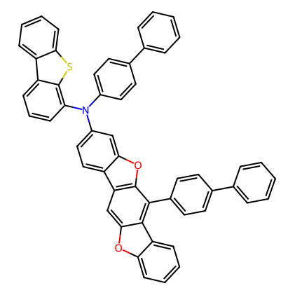 c1ccc(-c2ccc(-c3c4oc5cc(N(c6ccc(-c7ccccc7)cc6)c6cccc7c6sc6ccccc67)ccc5c4cc4oc5ccccc5c34)cc2)cc1